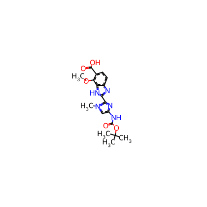 COc1c(C(=O)O)ccc2nc(-c3nc(NC(=O)OC(C)(C)C)cn3C)[nH]c12